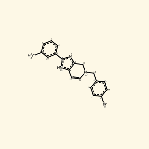 Cc1cccc(-c2nc3c([nH]2)C=CN(Cc2ccc(Br)cc2)C3)c1